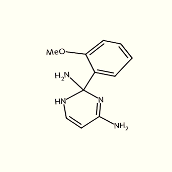 COc1ccccc1C1(N)N=C(N)C=CN1